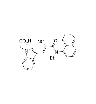 CCN(C(=O)C(C#N)=Cc1cn(CC(=O)O)c2ccccc12)c1cccc2ccccc12